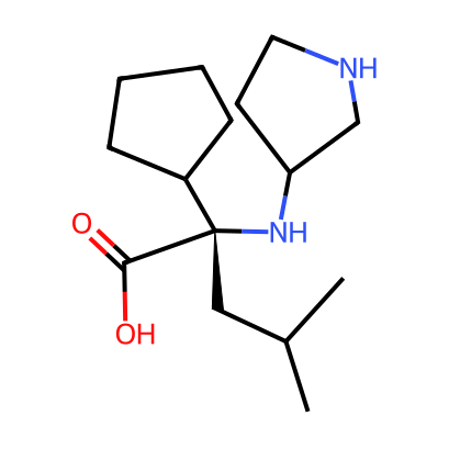 CC(C)C[C@@](NC1CCNC1)(C(=O)O)C1CCCC1